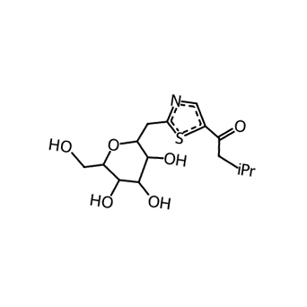 CC(C)CC(=O)c1cnc(CC2OC(CO)C(O)C(O)C2O)s1